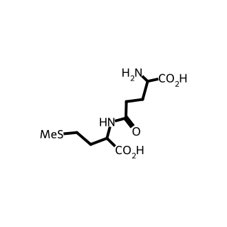 CSCCC(NC(=O)CCC(N)C(=O)O)C(=O)O